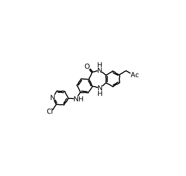 CC(=O)Cc1ccc2c(c1)NC(=O)c1ccc(Nc3ccnc(Cl)c3)cc1N2